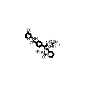 CCOC(=O)c1c(-c2ccc(C(=O)Nc3cc(CC)ccn3)cc2)nc(C2CCCCN2C(=O)OC(C)(C)C)n1NC(=O)C(F)(F)F